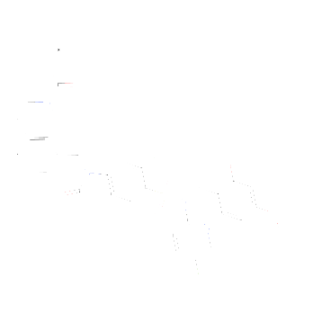 COc1ccc(CN(c2ccc(F)cn2)S(=O)(=O)c2cc3oc(=O)n(C(C)c4cccc5c4CN(C(=O)OC(C)(C)C)CC5)c3cc2F)c(OC)c1